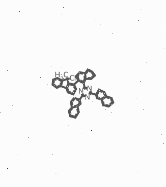 CC1(C)c2ccccc2-c2cccc(-c3ccc4ccccc4c3-c3nc(-c4ccc5ccccc5c4)nc(-c4ccc5ccccc5c4)n3)c21